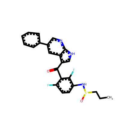 CCC[S+]([O-])Nc1ccc(F)c(C(=O)c2c[nH]c3ncc(-c4ccccc4)cc23)c1F